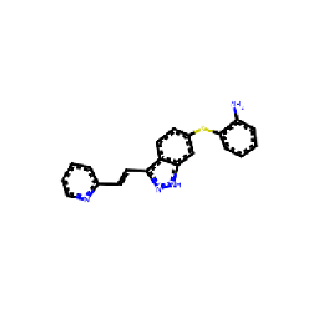 Nc1ccccc1Sc1ccc2c(/C=C/c3ccccn3)n[nH]c2c1